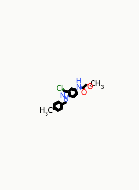 COCC(=O)Nc1ccc2c(c1)c(Cl)nn2Cc1ccc(C)cc1